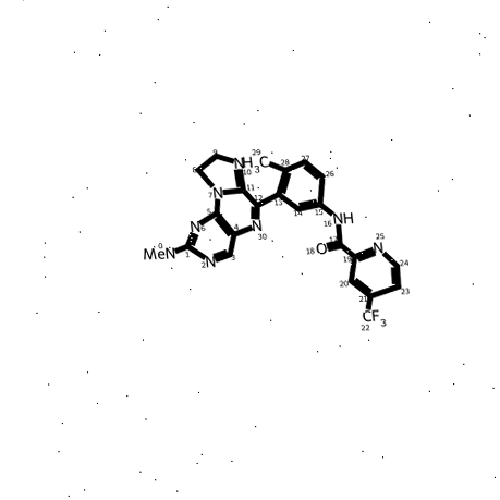 CNc1ncc2c(n1)N1CCN=C1C(c1cc(NC(=O)c3cc(C(F)(F)F)ccn3)ccc1C)=N2